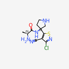 C[C@H](N)C(=O)N[C@@]1(c2snc(Cl)c2C#N)CCNC1